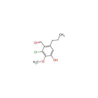 CCCc1cc(O)c(OC)c(Cl)c1C=O